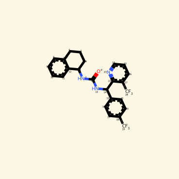 O=C(NC1CCCc2ccccc21)NC(c1ccc(C(F)(F)F)cc1)c1ncccc1C(F)(F)F